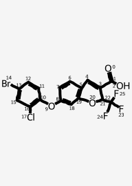 O=C(O)C1=Cc2ccc(Oc3ccc(Br)cc3Cl)cc2OC1C(F)(F)F